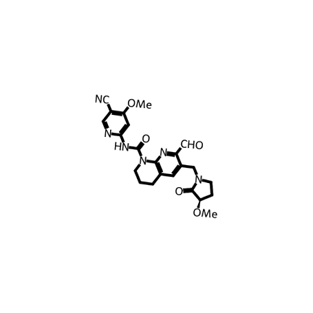 COc1cc(NC(=O)N2CCCc3cc(CN4CC[C@@H](OC)C4=O)c(C=O)nc32)ncc1C#N